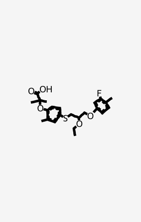 CCOC(COc1ccc(C)c(F)c1)CSc1ccc(OC(C)(C)C(=O)O)c(C)c1